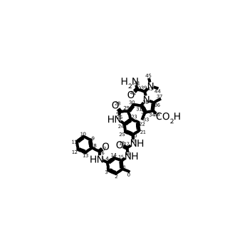 Cc1ccc(NC(=O)c2ccccc2)cc1NC(=O)Nc1ccc2c(c1)NC(=O)C2=Cc1c(C)c(C(=O)O)c(C)n1C(C(N)=O)N(C)C